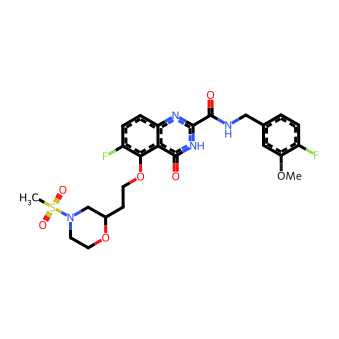 COc1cc(CNC(=O)c2nc3ccc(F)c(OCCC4CN(S(C)(=O)=O)CCO4)c3c(=O)[nH]2)ccc1F